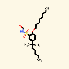 CCCCCCCCOc1ccc(C(C)(C)CCCCC)cc1S(=O)(=O)N[C]=O